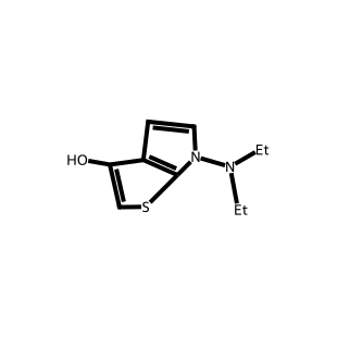 CCN(CC)n1ccc2c(O)csc21